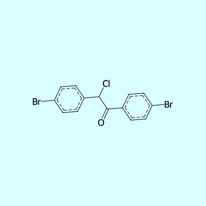 O=C(c1ccc(Br)cc1)C(Cl)c1ccc(Br)cc1